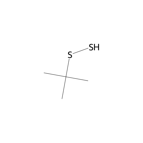 CC(C)(C)SS